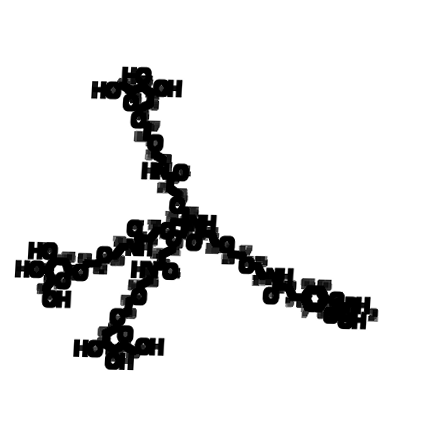 BP(=O)(O)Oc1ccc(CCC(=O)NCCOCCOCCC(=O)NC(COCCC(=O)NCCOCCOC2CC(O)C(O)C(CO)O2)(COCCC(=O)NCCOCCOC2CC(O)C(O)C(CO)O2)COCCC(=O)NCCOCCOC2CC(O)C(O)C(CO)O2)cc1